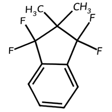 CC1(C)C(F)(F)c2ccccc2C1(F)F